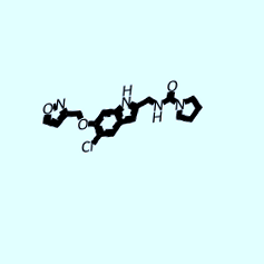 O=C(NCc1cc2cc(Cl)c(OCc3ccon3)cc2[nH]1)N1CCCC1